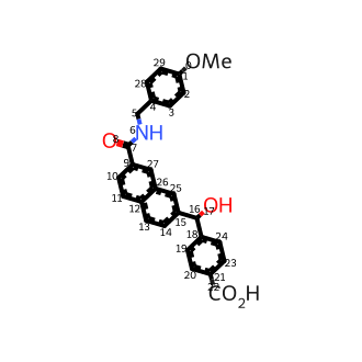 COc1ccc(CNC(=O)c2ccc3ccc(C(O)c4ccc(C(=O)O)cc4)cc3c2)cc1